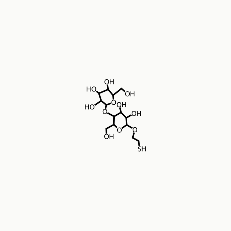 OCC1OC(OC2C(CO)OC(OCCS)C(O)C2O)C(O)C(O)C1O